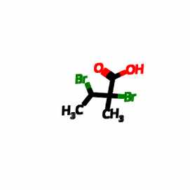 CC(Br)C(C)(Br)C(=O)O